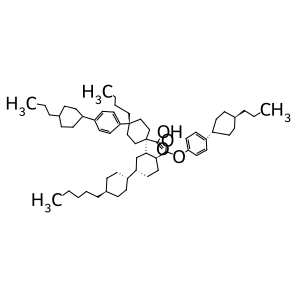 CCCCC[C@H]1CC[C@H]([C@H]2CC[C@H](C(=O)Oc3ccc([C@H]4CC[C@H](CCC)CC4)cc3)C([C@]3(C(=O)O)CC[C@](CCCC)(c4ccc(C5CCC(CCC)CC5)cc4)CC3)C2)CC1